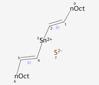 CCCCCCCC/C=[CH]/[Sn+2]/[CH]=C/CCCCCCCC.[S-2]